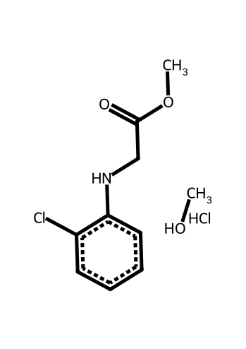 CO.COC(=O)CNc1ccccc1Cl.Cl